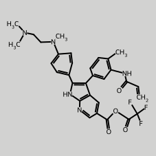 C=CC(=O)Nc1cc(-c2c(-c3ccc(N(C)CCN(C)C)cc3)[nH]c3ncc(C(=O)OC(=O)C(F)(F)F)cc23)ccc1C